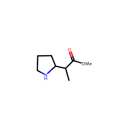 COC(=O)C(C)C1CCCN1